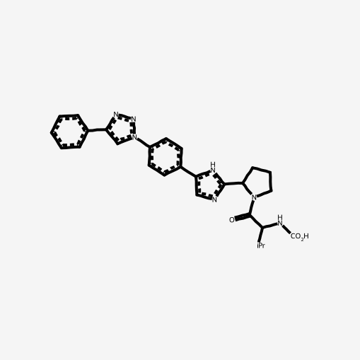 CC(C)C(NC(=O)O)C(=O)N1CCCC1c1ncc(-c2ccc(-n3cc(-c4ccccc4)nn3)cc2)[nH]1